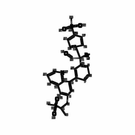 CC(Cc1cc(-c2cccc(C(Br)(C=O)c3ccc(S(C)(=O)=O)cc3)c2)c2ncccc2c1)S(C)(=O)=O